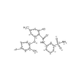 Cc1cc(Cl)c(C(=O)Nc2cccc(S(N)(=O)=O)c2)c(Oc2ccc(F)cc2C)c1